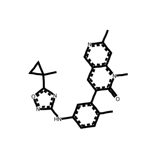 Cc1cc2c(cn1)cc(-c1cc(Nc3noc(C4(C)CC4)n3)ccc1C)c(=O)n2C